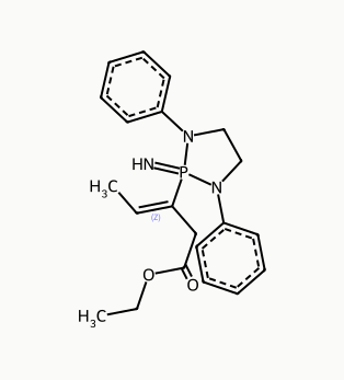 C/C=C(/CC(=O)OCC)P1(=N)N(c2ccccc2)CCN1c1ccccc1